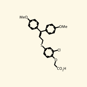 COc1ccc(C(=CCSc2ccc(OCC(=O)O)c(Cl)c2)c2ccc(OC)cc2)cc1